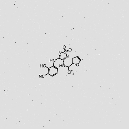 N#Cc1cccc(NC2=NS(=O)(=O)N=C2NC(C2CC=CO2)C(F)(F)F)c1O